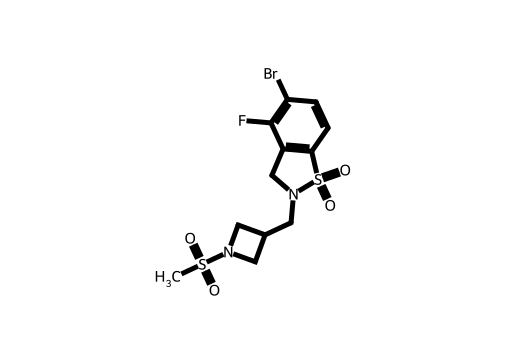 CS(=O)(=O)N1CC(CN2Cc3c(ccc(Br)c3F)S2(=O)=O)C1